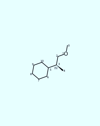 COC[C@@H](C)C1CCCCC1